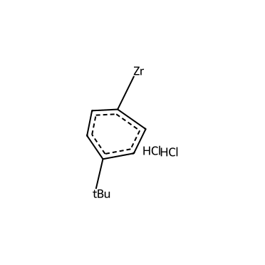 CC(C)(C)c1cc[c]([Zr])cc1.Cl.Cl